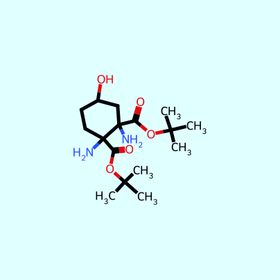 CC(C)(C)OC(=O)C1(N)CCC(O)CC1(N)C(=O)OC(C)(C)C